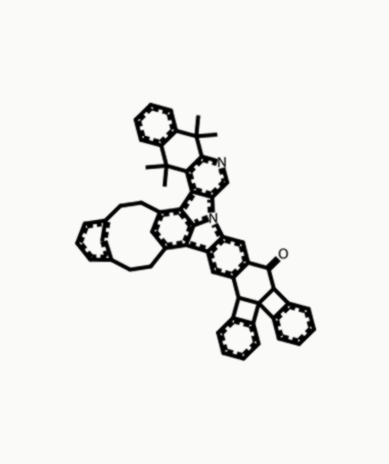 CC1(C)c2ccccc2C(C)(C)c2c1ncc1c2c2c3cc(c4c5cc6c(cc5n1c42)C(=O)C1c2ccccc2C12c1ccccc1C62)CCc1cccc(c1)CC3